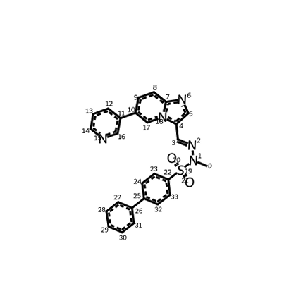 CN(N=Cc1cnc2ccc(-c3cccnc3)cn12)S(=O)(=O)c1ccc(-c2ccccc2)cc1